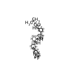 CC(C)COC(=O)Nc1cccc(-c2cnc(N[C@@H]3CCCC[C@H]3N[C@H]3CCCN(c4cnc(C(F)(F)F)nc4)C3)o2)c1